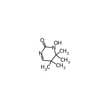 CC1(C)C=NC(=O)N(O)C1(C)C